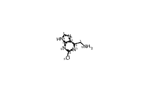 NCc1nc(Cl)nc2[nH]cnc12